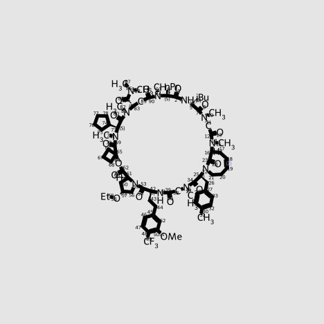 CCC[C@H]1C(=O)N[C@@H]([C@@H](C)CC)C(=O)N(C)CC(=O)N(C)[C@H]2C/C=C\CCN(C2=O)[C@@H](Cc2ccc(C)cc2)C(=O)N(C)CC(=O)N[C@@H](CCc2ccc(C(F)(F)F)c(OC)c2)C(=O)N2C[C@H](OCC)C[C@H]2C(=O)OC2(CCC2)C(=O)N(C)[C@@H](C2CCCC2)C(=O)N(C)[C@H](C(=O)N(C)C)CC(=O)N1C